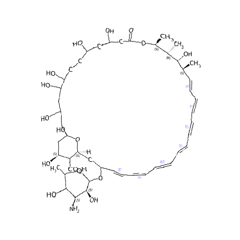 CC1OC(OC2/C=C/C=C/C=C/C=C/C=C/C=C/C=C/[C@H](C)C(O)[C@@H](C)[C@H](C)OC(=O)CC(O)CC(O)CCC(O)C(O)CC(O)CC3(O)C[C@H](O)C(C(=O)O)[C@H](C2)O3)[C@@H](O)[C@@H](N)C1O